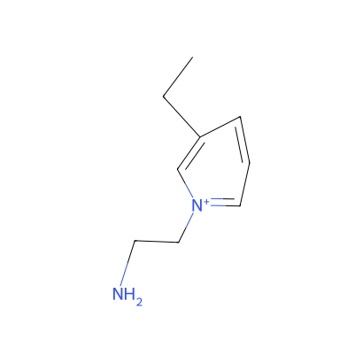 CCc1ccc[n+](CCN)c1